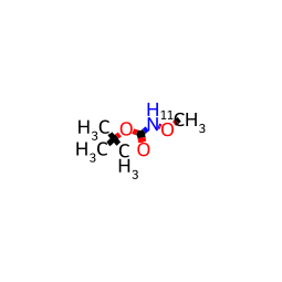 CC(C)(C)OC(=O)NO[11CH3]